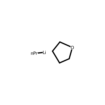 C1CCOC1.[Li][CH2]CC